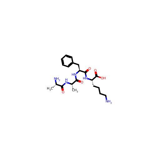 C[C@H](N)C(=O)N[C@@H](C)C(=O)N[C@@H](Cc1ccccc1)C(=O)N[C@@H](CCCCN)C(=O)O